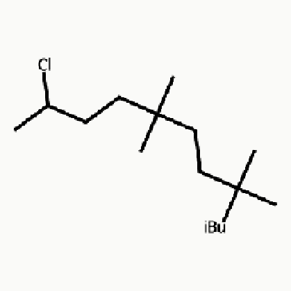 CCC(C)C(C)(C)CCC(C)(C)CCC(C)Cl